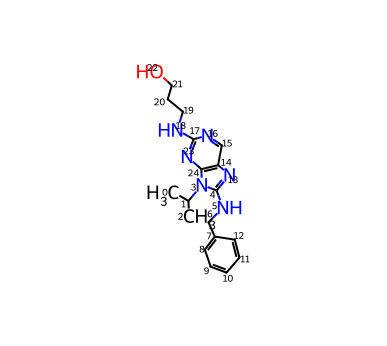 CC(C)n1c(NCc2ccccc2)nc2cnc(NCCCO)nc21